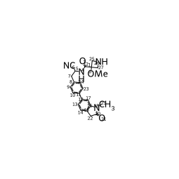 COC1(C(=O)NC(C#N)Cc2ccc(-c3ccc4c(c3)N(C)C(=O)C4)cc2)CNC1